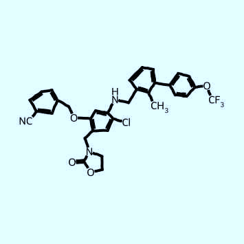 Cc1c(CNc2cc(OCc3cccc(C#N)c3)c(CN3CCOC3=O)cc2Cl)cccc1-c1ccc(OC(F)(F)F)cc1